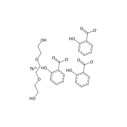 O=C([O-])c1ccccc1O.O=C([O-])c1ccccc1O.O=C([O-])c1ccccc1O.OCCOCCOCCO.[Tb+3]